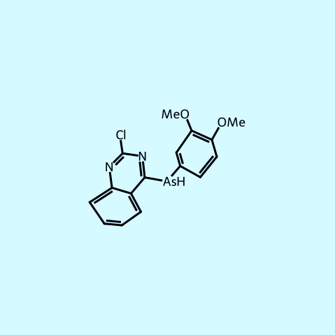 COc1ccc([AsH]c2nc(Cl)nc3ccccc23)cc1OC